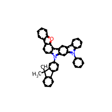 CC1(C)c2ccccc2-c2ccc(-n3c4cc5c(cc4c4c6oc7ccccc7c6ccc43)c3ccccc3n5-c3ccccc3)cc21